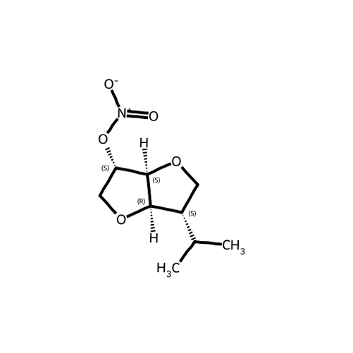 CC(C)[C@H]1CO[C@H]2[C@@H]1OC[C@@H]2O[N+](=O)[O-]